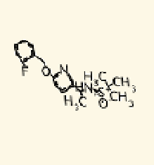 CC(N[S@+]([O-])C(C)(C)C)c1ccc(OCc2ccccc2F)nc1